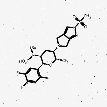 CC(C)(C)N(C(=O)O)[C@H]1C[C@@H](N2Cc3cn(S(C)(=O)=O)nc3C2)[C@@H](C(F)(F)F)O[C@@H]1c1cc(F)c(F)cc1F